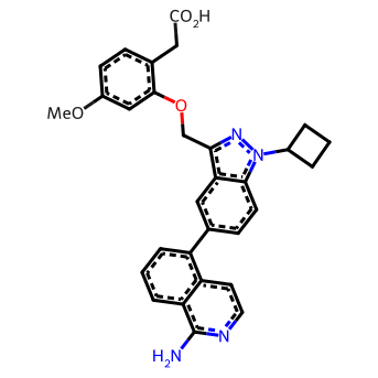 COc1ccc(CC(=O)O)c(OCc2nn(C3CCC3)c3ccc(-c4cccc5c(N)nccc45)cc23)c1